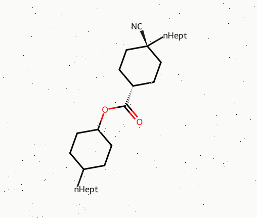 CCCCCCCC1CCC(OC(=O)[C@H]2CC[C@@](C#N)(CCCCCCC)CC2)CC1